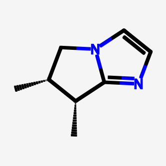 C[C@@H]1Cn2ccnc2[C@@H]1C